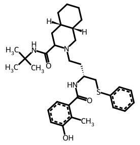 Cc1c(O)cccc1C(=O)N[C@H](CCN1C[C@H]2CCCC[C@H]2CC1C(=O)NC(C)(C)C)CSc1ccccc1